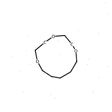 C1CCOCCOCCOCC1